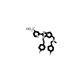 CN(Cc1ccc(F)cc1)Cc1ccc2nc(-c3cc(C(=O)O)ccn3)n(CCc3ccc(F)cc3)c2c1